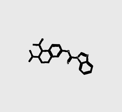 CC(C)C1CCc2cc(OC(=S)n3cnc4ccccc43)ccc2C1C(C)C